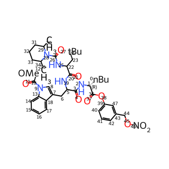 CCCC[C@@H](NC(=O)C(Cc1cn(C(=O)OC)c2ccccc12)NC(=O)C(CC(C)(C)C)NC(=O)N1C(C)CCCC1C)C(=O)Oc1cccc(CO[N+](=O)[O-])c1